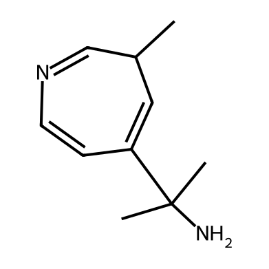 CC1C=NC=CC(C(C)(C)N)=C1